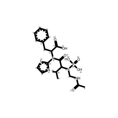 CC(=O)NCN(C(C(=O)N(c1nccs1)C(Cc1ccccc1)C(=O)O)C(C)C)P(=O)(O)O